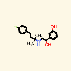 CC(C)(CCc1ccc(F)cc1)NCC(O)c1cccc(O)c1